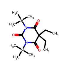 CCC1(CC)C(=O)N([Si](C)(C)C)C(=O)N([Si](C)(C)C)C1=O